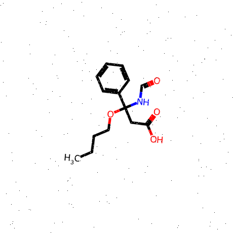 CCCCOC(CC(=O)O)(NC=O)c1ccccc1